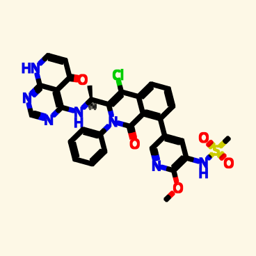 COc1ncc(-c2cccc3c(Cl)c([C@H](C)Nc4ncnc5[nH]ccc(=O)c45)n(-c4ccccc4)c(=O)c23)cc1NS(C)(=O)=O